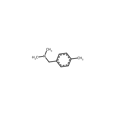 [CH2]N(C)Cc1ccc(C)cc1